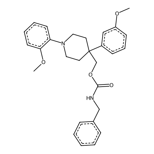 COc1cccc(C2(COC(=O)NCc3ccccc3)CCN(c3ccccc3OC)CC2)c1